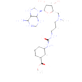 COC(=O)C1CCCC(NC(=O)NCCCN(C)C[C@H]2O[C@@H](N3CNC4C(N)NCNC43)[C@H](O)[C@@H]2O)C1